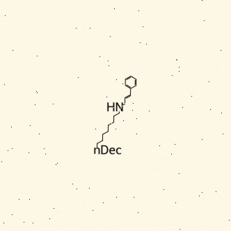 CCCCCCCCCCCCCCCCCCNC/C=C/c1ccccc1